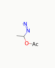 CC(=O)OC(C)N=[N]